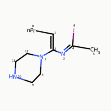 CCC/C=C(/N=C(/C)I)N1CCNCC1